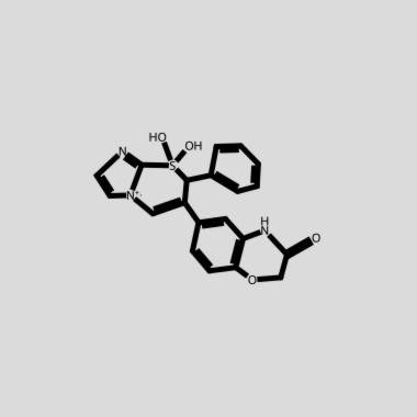 O=C1COc2ccc(C3=C[N+]4C=CN=C4S(O)(O)C3c3ccccc3)cc2N1